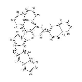 c1ccc2cc(-c3ccc(N(c4ccc5oc6cc7ccccc7cc6c5c4)c4cccc5ccccc45)cc3)ccc2c1